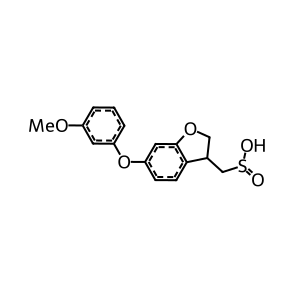 COc1cccc(Oc2ccc3c(c2)OCC3CS(=O)O)c1